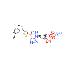 C#Cc1ccc2c(c1)C(c1cc(C(=O)c3cncnc3N[C@@H]3C[C@H](COS(N)(=O)=O)[C@@H](O)C3)sc1C)CCC2